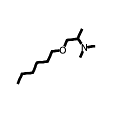 CCCCCCOCC(C)N(C)C